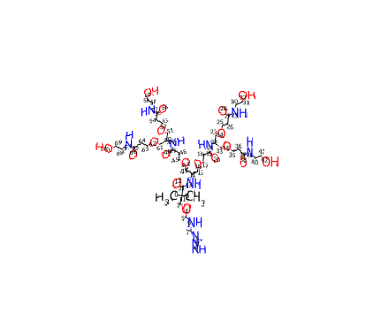 CC(C)(COCNCN=[N+]=N)C(=O)NC(COCCC(=O)NC(COCCC(=O)NCCO)COCCC(=O)NCCO)COCCC(=O)NC(COCCC(=O)NCCO)COCCC(=O)NCCO